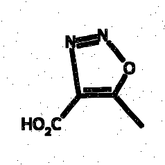 Cc1onnc1C(=O)O